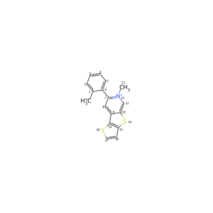 Cc1ccccc1-c1cc2c(c[n+]1C)sc1ccsc12